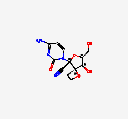 N#C[C@@]1(n2ccc(N)nc2=O)O[C@H](CO)[C@@H](O)[C@]12CCO2